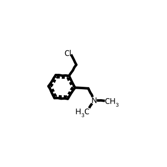 CN(C)Cc1ccccc1CCl